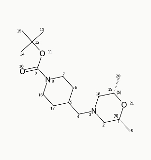 C[C@@H]1CN(CC2CCN(C(=O)OC(C)(C)C)CC2)C[C@H](C)O1